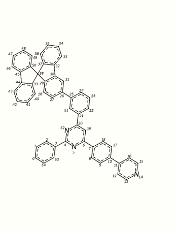 c1ccc(-c2nc(-c3ccc(-c4ccncc4)cc3)cc(-c3cccc(-c4ccc5c(c4)-c4ccccc4C54c5ccccc5-c5ccccc54)c3)n2)cc1